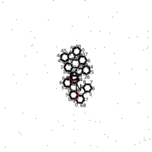 c1ccc(-c2ccccc2N(c2ccc(-c3cccc4c3C3(c5ccccc5-c5ccccc53)c3ccccc3C43c4ccccc4-c4ccccc43)cc2)c2ccccc2-c2ccccc2)cc1